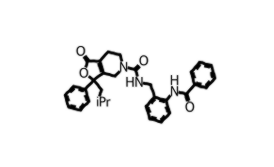 CC(C)CC1(c2ccccc2)OC(=O)C2=C1CN(C(=O)NCc1ccccc1NC(=O)c1ccccc1)CC2